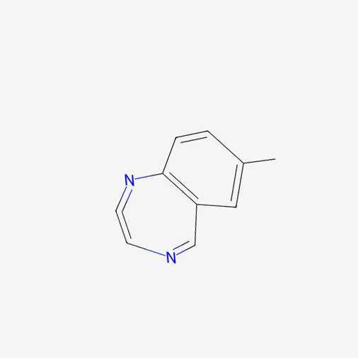 Cc1ccc2c(c1)C=NC=C=N2